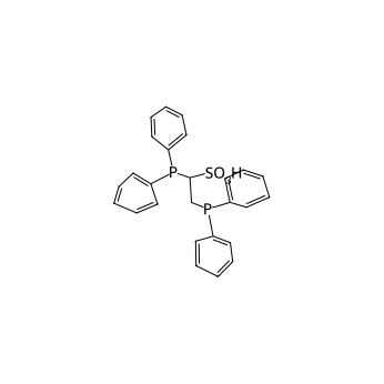 O=S(=O)(O)C(CP(c1ccccc1)c1ccccc1)P(c1ccccc1)c1ccccc1